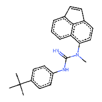 CN(C(=N)Nc1ccc(C(C)(C)C)cc1)c1ccc2c3c(cccc13)C=C2